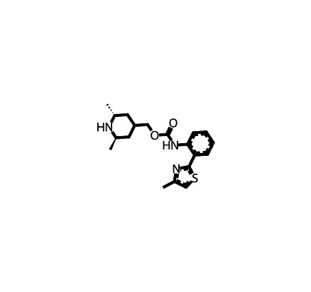 Cc1csc(-c2ccccc2NC(=O)OCC2C[C@@H](C)N[C@H](C)C2)n1